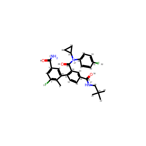 Cc1c(F)cc(C(N)=O)cc1-c1ccc(C(=O)NCC(C)(C)C)cc1C(=O)N(c1ccc(F)cc1)C1CC1